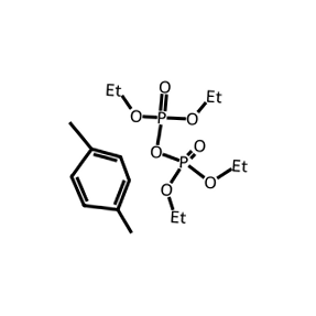 CCOP(=O)(OCC)OP(=O)(OCC)OCC.Cc1ccc(C)cc1